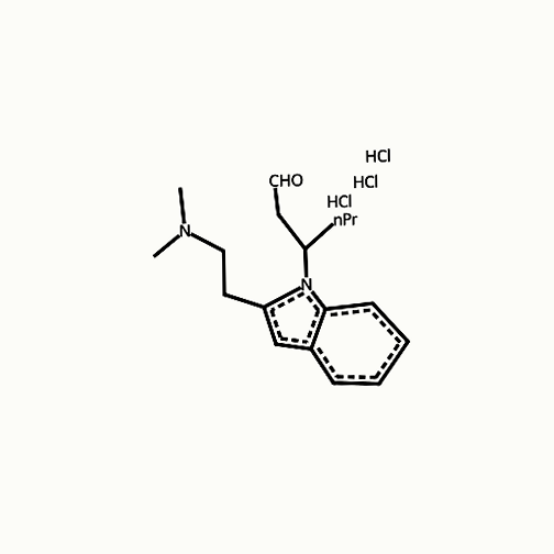 CCCC(CC=O)n1c(CCN(C)C)cc2ccccc21.Cl.Cl.Cl